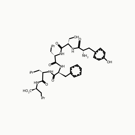 CC(C)C[C@H](NC(=O)[C@H](CC(C)C)NC(=O)[C@H](Cc1ccccc1)NC(=O)[C@H](CC(C)C)NC(=O)[C@H](CO)NC(=O)[C@@H](N)Cc1ccc(O)cc1)C(=O)O